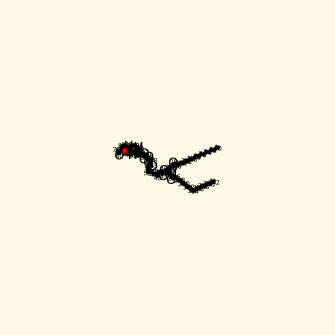 CCCCCCCCC=CCCCCCCCC(=O)OCC(COC(=O)CCCCCCC/C=C\CCCCCCCC)OC(=O)CC(C)CCC(C)CC(=O)OC(C)OC(=O)O[C@H]1CC[C@@]2(C)[C@@H](CC[C@@H]3[C@@H]2CC[C@]2(C)[C@@H](C(C)=O)CC[C@@H]32)C1